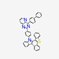 c1ccc(-c2ccc(-c3nc(-c4ccc(-n5c6ccccc6c6c7ccccc7c7sc8ccccc8c7c65)cc4)nc4cccnc34)cc2)cc1